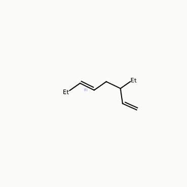 C=CC(CC)C/C=C/CC